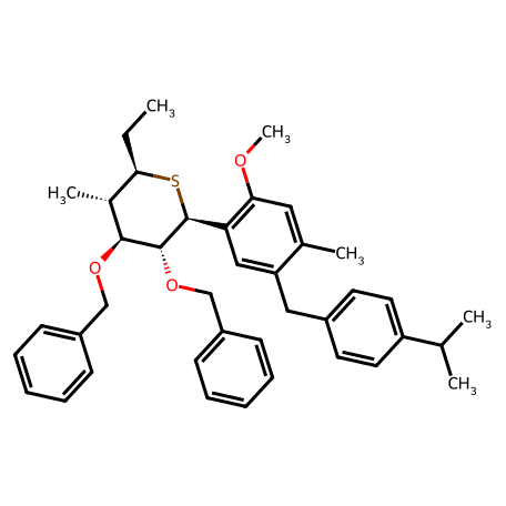 CC[C@H]1S[C@@H](c2cc(Cc3ccc(C(C)C)cc3)c(C)cc2OC)[C@H](OCc2ccccc2)[C@@H](OCc2ccccc2)[C@@H]1C